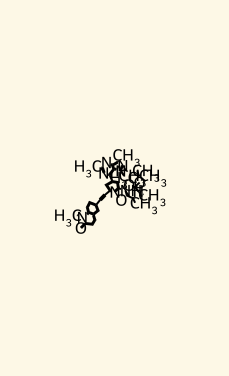 Cc1nc(-c2cc(C#Cc3ccc4c(ccc(=O)n4C)c3)nc(NC(=O)C(C)N(C)C(=O)OC(C)(C)C)c2)c2c(n1)c(C)nn2C